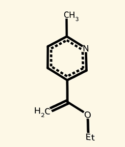 C=C(OCC)c1ccc(C)nc1